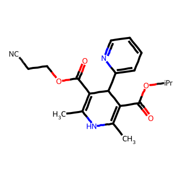 CC1=C(C(=O)OCCC#N)C(c2ccccn2)C(C(=O)OC(C)C)=C(C)N1